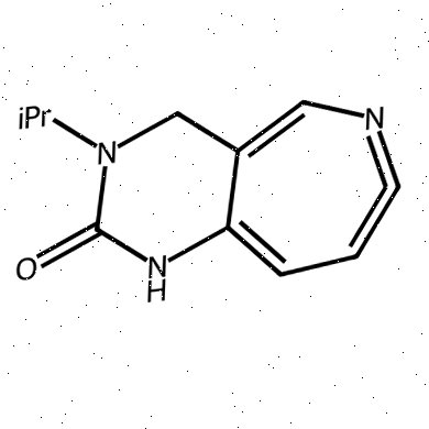 CC(C)N1CC2=CN=C=CC=C2NC1=O